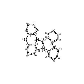 c1ccc2c(c1)Oc1cccc3c1N2B1c2ccccc2-c2ccccc2N13